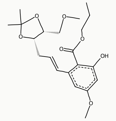 CCCOC(=O)c1c(O)cc(OC)cc1/C=C/C[C@@H]1OC(C)(C)O[C@@H]1COC